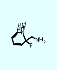 Cl.Cl.NCC1(F)C=CC=CN1